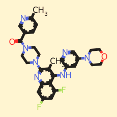 Cc1ccc(C(=O)N2CCN(c3nc4cc(F)cc(F)c4c(Nc4cncc(N5CCOCC5)c4)c3C)CC2)cn1